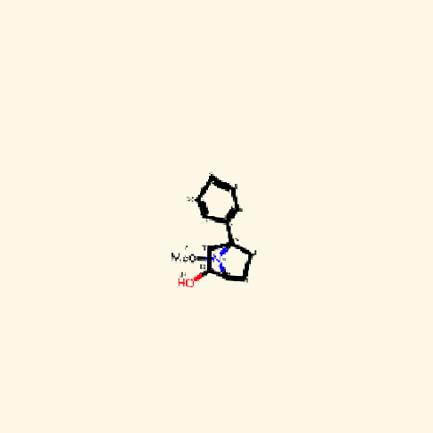 CON1C2CCC1(c1ccccc1)CC2O